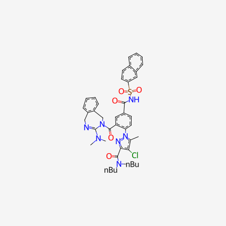 CCCCN(CCCC)C(=O)c1nn(-c2ccc(C(=O)NS(=O)(=O)c3ccc4ccccc4c3)cc2C(=O)N2Cc3ccccc3CN=C2N(C)C)c(C)c1Cl